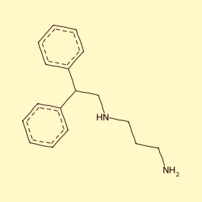 NCCCNCC(c1ccccc1)c1ccccc1